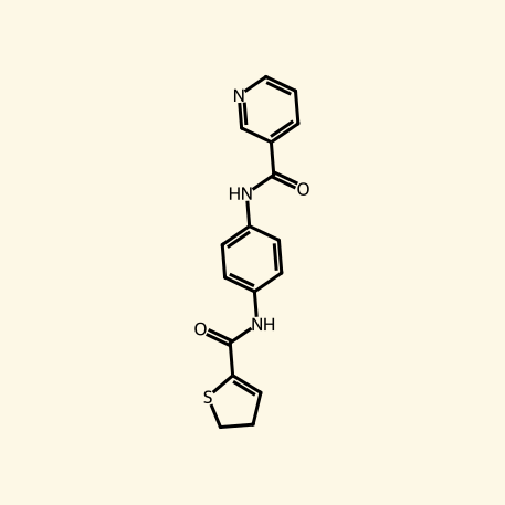 O=C(Nc1ccc(NC(=O)c2cccnc2)cc1)C1=CCCS1